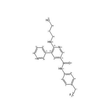 O=C(Nc1ccc(CC(F)(F)F)cc1)c1cnc(NCCCO)c(-c2cccnc2)c1